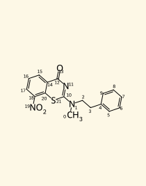 CN(CCc1ccccc1)c1nc(=O)c2cccc([N+](=O)[O-])c2s1